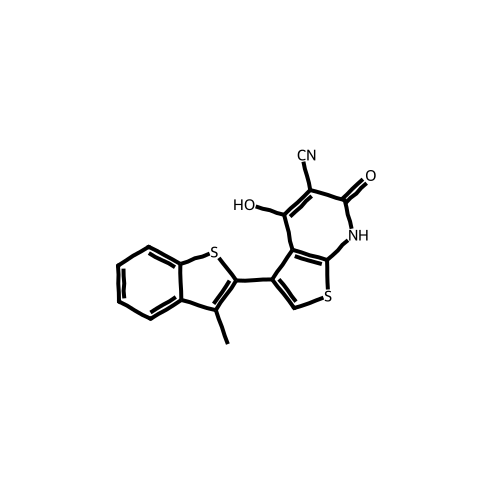 Cc1c(-c2csc3[nH]c(=O)c(C#N)c(O)c23)sc2ccccc12